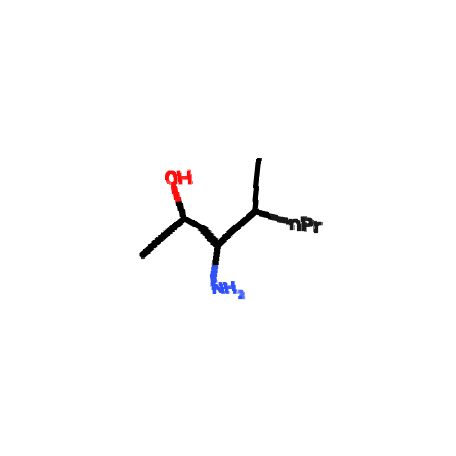 CCCC(C)C(N)C(C)O